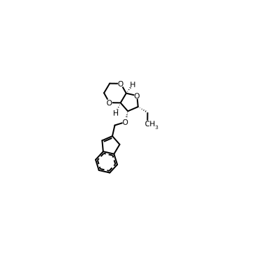 CC[C@H]1O[C@@H]2OCCO[C@@H]2[C@H]1OCC1=Cc2ccccc2C1